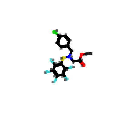 CC(C)(C)OC(=O)CN(Cc1ccc(Cl)cc1)Sc1c(F)c(F)c(F)c(F)c1F